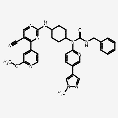 COc1cc(-c2nc(NC3CCC(N(C(=O)NCc4ccccc4)c4ccc(-c5cnn(C)c5)cn4)CC3)ncc2C#N)ccn1